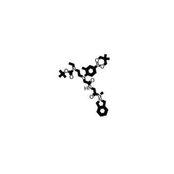 CCN(CCN(CC(=O)NCC(=O)N(C)N1Cc2ccccc2C1)c1ccc(B2OCC(C)(C)CO2)cc1C)C(=O)OC(C)(C)C